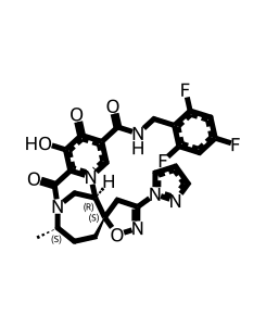 C[C@H]1CC[C@]2(CC(n3cccn3)=NO2)[C@H]2CN1C(=O)c1c(O)c(=O)c(C(=O)NCc3c(F)cc(F)cc3F)cn12